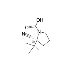 CC(C)(C)[C@]1(C#N)CCCN1C(=O)O